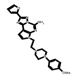 COc1ccc(N2CCN(CCn3ccc4c3nc(N)n3nc(-c5ccco5)nc43)CC2)cc1